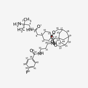 CC(C)(N)CNC(=O)CC1CCC2(CC1)OCC1CC3CC(COO2)CC(C(=O)NCCCNC(=O)c2ccc(F)cc2)(C1)C3